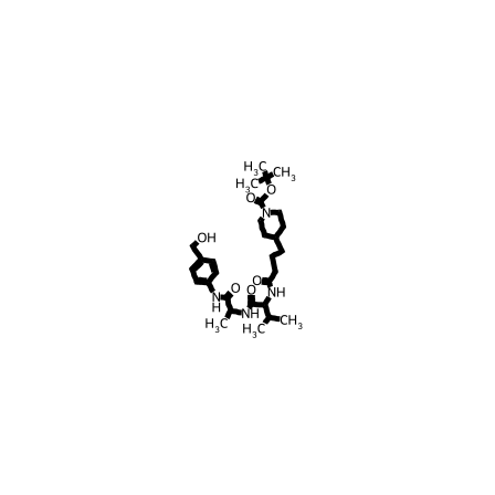 CC(NC(=O)C(NC(=O)CCCC1CCN(C(=O)OC(C)(C)C)CC1)C(C)C)C(=O)Nc1ccc(CO)cc1